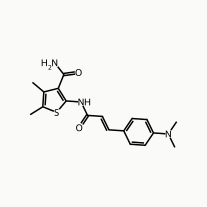 Cc1sc(NC(=O)C=Cc2ccc(N(C)C)cc2)c(C(N)=O)c1C